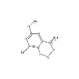 CCc1cc(CC(C)(C)C)cc2c1CCCC2=N